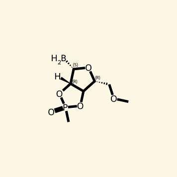 B[C@@H]1O[C@H](COC)C2OP(C)(=O)O[C@@H]21